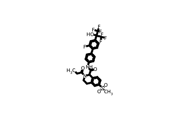 CCC(=O)N1CCc2cc(S(C)(=O)=O)ccc2C1C(=O)Nc1ccc(-c2ccc(C(O)(C(F)(F)F)C(F)(F)F)cc2F)cc1